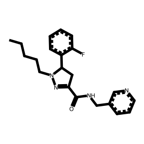 CCCCCN1N=C(C(=O)NCc2cccnc2)CC1c1ccccc1F